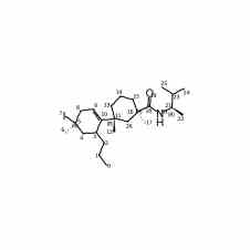 CCCC1C[C@@](C)(I)CC=C1[C@]1(C)CCC[C@@](C)(C(=O)N[C@H](C)C(C)C)C1